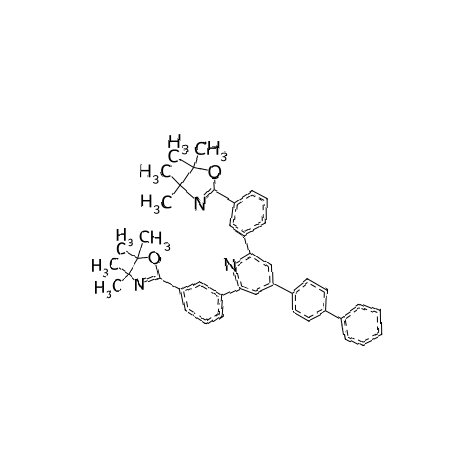 CC1(C)N=C(c2cccc(-c3cc(-c4ccc(-c5ccccc5)cc4)cc(-c4cccc(C5=NC(C)(C)C(C)(C)O5)c4)n3)c2)OC1(C)C